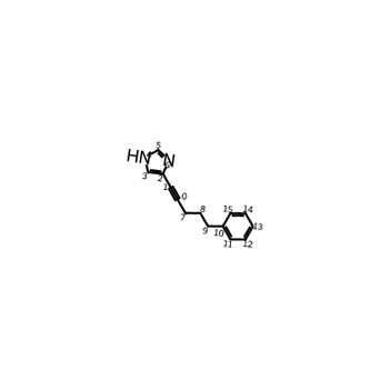 C(#Cc1c[nH]cn1)CCCc1ccccc1